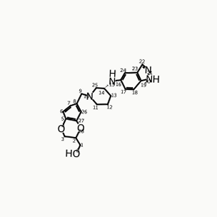 OCC1COc2ccc(CN3CCC[C@@H](Nc4ccc5[nH]ncc5c4)C3)cc2O1